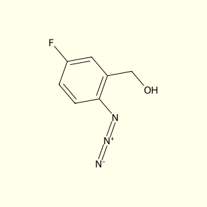 [N-]=[N+]=Nc1ccc(F)cc1CO